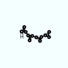 C1=Cc2c(c3cc(-c4ccc5c(c4)c4ccc(-c6ccc(-n7c8ccccc8c8cc(-c9ccc%10c(c9)c9ccccc9n%10-c9ccccc9)ccc87)cc6)cc4n5-c4ccccc4)ccc3n2-c2ccccc2)NC1